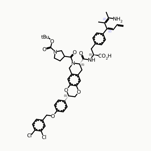 C=C/C=C(\C(C)=C(\C)N)c1ccc(C[C@H](NC(=O)[C@@H]2Cc3cc4c(cc3CN2C(=O)C2CCN(C(=O)OC(C)(C)C)C2)O[C@@H](c2ccc(OCc3ccc(Cl)c(Cl)c3)cc2)CO4)C(=O)O)cc1